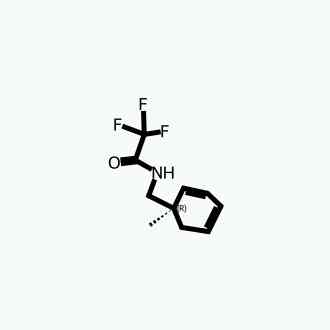 C[C@]1(CNC(=O)C(F)(F)F)C=CC=CC1